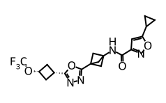 O=C(NC12CC(c3nnc([C@H]4C[C@@H](OC(F)(F)F)C4)o3)(C1)C2)c1cc(C2CC2)on1